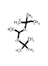 CC(OC(C)(C)C)OC(C)(C)C